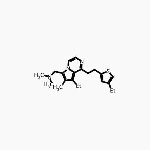 CCc1csc(CCc2nccn3c(CN(C)C)c(C)c(CC)c23)c1